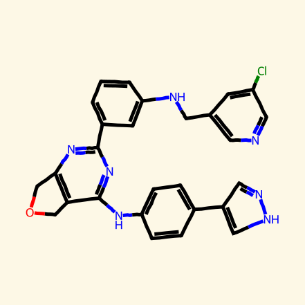 Clc1cncc(CNc2cccc(-c3nc4c(c(Nc5ccc(-c6cn[nH]c6)cc5)n3)COC4)c2)c1